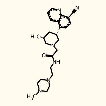 C[C@@H]1C[C@H](c2ccc(C#N)c3ncccc23)CN(CC(=O)NCCN2CCN(C)CC2)C1